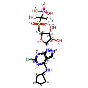 CC(C)(P(=O)(O)O)S(=O)(=O)C[C@H]1O[C@@H](n2ncc3c(NC4CCCC4)nc(Cl)nc32)[C@H](O)[C@@H]1O